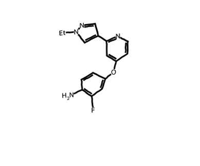 CCn1cc(-c2cc(Oc3ccc(N)c(F)c3)ccn2)cn1